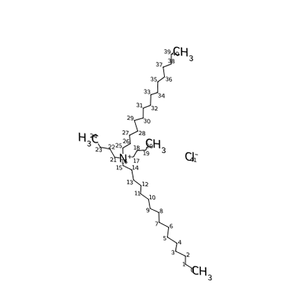 CCCCCCCCCCCCCCCC[N+](CCCC)(CCCC)CCCCCCCCCCCCCCCC.[Cl-]